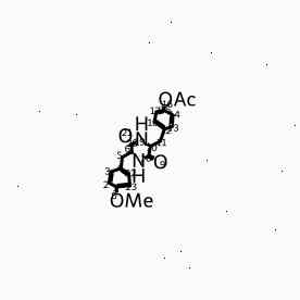 COc1ccc(CC2NC(=O)C(Cc3ccc(OC(C)=O)cc3)NC2=O)cc1